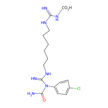 N=C(NCCCCCCNC(=N)N(C(N)=O)c1ccc(Cl)cc1)NC(=O)O